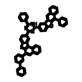 c1ccc(C2=NC(c3ccc4sc5c(-c6cccc(-c7ccccc7)c6)cc6ccccc6c5c4c3)=NC(c3ccc4oc5c(-c6ccccc6)c6ccccc6cc5c4c3)N2)cc1